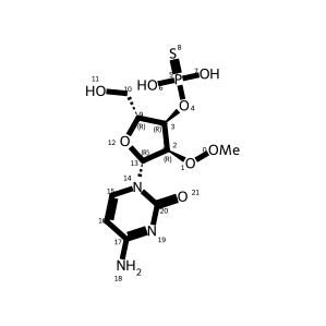 COO[C@@H]1[C@H](OP(O)(O)=S)[C@@H](CO)O[C@H]1n1ccc(N)nc1=O